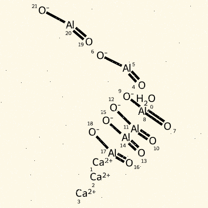 O.[Ca+2].[Ca+2].[Ca+2].[O]=[Al][O-].[O]=[Al][O-].[O]=[Al][O-].[O]=[Al][O-].[O]=[Al][O-].[O]=[Al][O-]